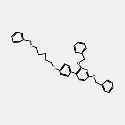 c1ccc(COCCCCCOc2ccc(-c3ccc(OCc4ccccc4)nc3OCc3ccccc3)cc2)cc1